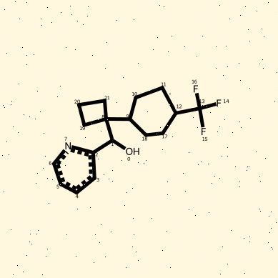 OC(c1ccccn1)C1(C2CCC(C(F)(F)F)CC2)CCC1